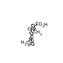 Cc1cc2c(CC(=O)O)cccc2n1C(=O)c1ccc(OCN2CC(C)c3c(F)cccc3O2)cc1